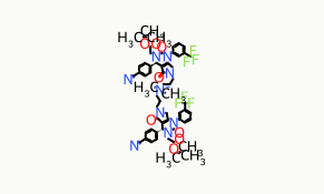 CC(C)(C)OC(=O)CN1C(=O)N(c2cccc(C(F)(F)F)c2)C2=C(C(=O)N(CCC[N+](C)(C)CCCN3CC4=C(C3=O)[C@@H](c3ccc(C#N)cc3)N(CC(=O)OC(C)(C)C)C(=O)N4c3cccc(C(F)(F)F)c3)C2)[C@H]1c1ccc(C#N)cc1